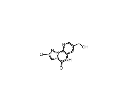 O=c1[nH]c2cc(CO)cnc2n2nc(Cl)cc12